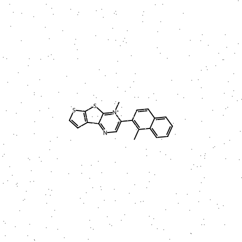 Cc1c(-c2cnc3c4ccsc4sc3[n+]2C)ccc2ccccc12